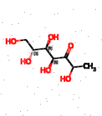 CC(O)C(=O)[C@@H](O)[C@H](O)[C@H](O)CO